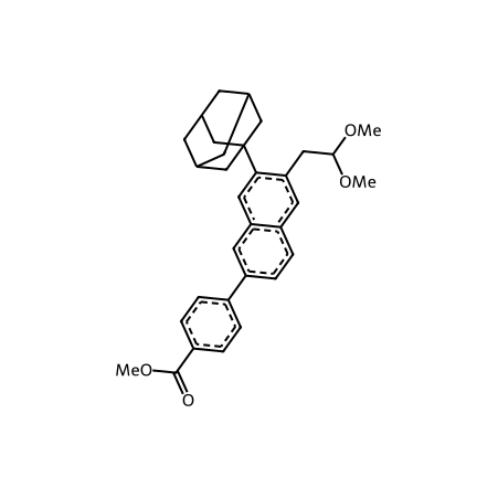 COC(=O)c1ccc(-c2ccc3cc(CC(OC)OC)c(C45CC6CC(CC(C6)C4)C5)cc3c2)cc1